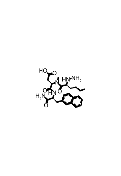 CCCC[C@H](NN)C(=O)N(C)[C@H](CC(=O)O)C(=O)N[C@@H](Cc1ccc2ccccc2c1)C(N)=O